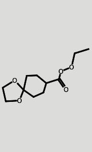 CCOOC(=O)C1CCC2(CC1)OCCO2